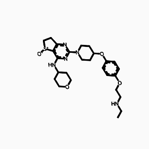 CCNCCOc1ccc(OC2CCN(c3nc4c(c(NC5CCOCC5)n3)[S+]([O-])CC4)CC2)cc1